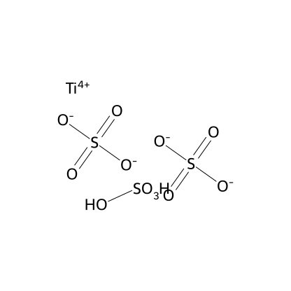 O=S(=O)(O)O.O=S(=O)([O-])[O-].O=S(=O)([O-])[O-].[Ti+4]